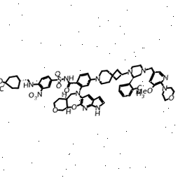 COc1cc(CN2CCN(C3CC4(CCN(c5ccc(C(=O)NS(=O)(=O)c6ccc(NC[C@H]7CC[C@](C)(O)CC7)c([N+](=O)[O-])c6)c(N6C[C@@H]7CCOC[C@H]7Oc7nc8[nH]ccc8cc76)c5)CC4)C3)[C@H](c3ccccc3C)C2)cnc1N1CCOCC1